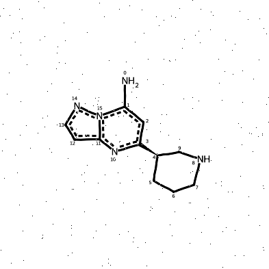 Nc1cc([C@@H]2CCCNC2)nc2ccnn12